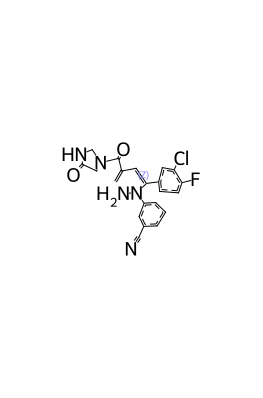 C=C(/C=C(/c1ccc(F)c(Cl)c1)N(N)c1cccc(C#N)c1)C(=O)N1CNC(=O)C1